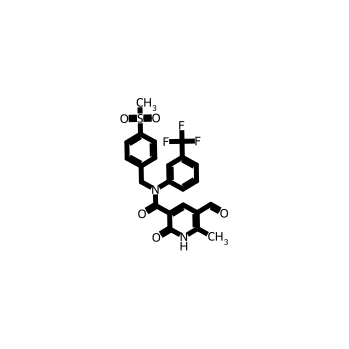 Cc1[nH]c(=O)c(C(=O)N(Cc2ccc(S(C)(=O)=O)cc2)c2cccc(C(F)(F)F)c2)cc1C=O